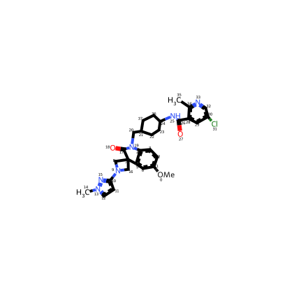 COc1ccc2c(c1)C1(CN(c3ccn(C)n3)C1)C(=O)N2CC1CCC(NC(=O)c2cc(Cl)cnc2C)CC1